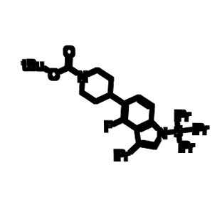 CC(C)c1cn(S(C(C)C)(C(C)C)C(C)C)c2ccc(C3CCN(C(=O)OC(C)(C)C)CC3)c(F)c12